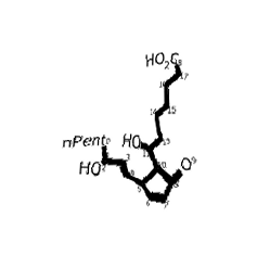 CCCCCC(O)C=CC1C=CC(=O)C1C(O)CCCCCC(=O)O